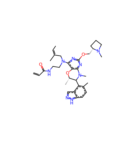 C=CC(=O)NCCN(C/C(C)=C\C)c1nc(OC[C@@H]2CCCN2C)nc2c1O[C@@H](C)C(c1c(C)ccc3[nH]ncc13)N2C